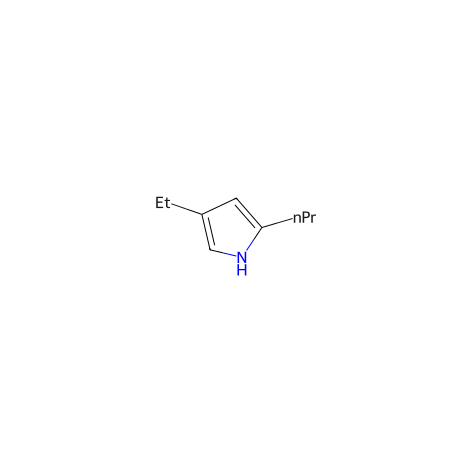 CCCc1cc(CC)c[nH]1